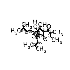 CCC(C)C(=O)C1=C(O)[C@@](O)([C@@H](O)CC=C(C)C)C(CC=C(C)C)C1=O